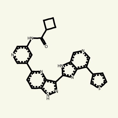 O=C(Nc1cncc(-c2ccc3[nH]nc(-c4nc5c(-c6ccsc6)cncc5[nH]4)c3n2)c1)C1CCC1